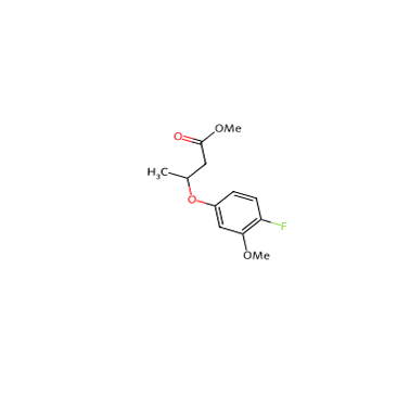 COC(=O)CC(C)Oc1ccc(F)c(OC)c1